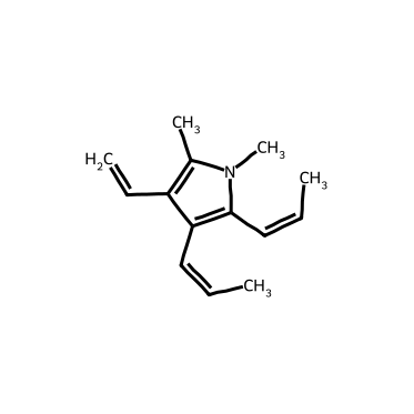 C=Cc1c(/C=C\C)c(/C=C\C)n(C)c1C